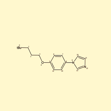 CC(C)(C)CCCOc1ccc(-n2ccnc2)cc1